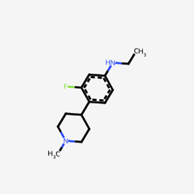 CCNc1ccc(C2CCN(C)CC2)c(F)c1